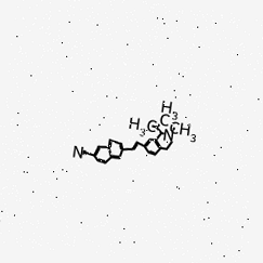 CC(C)C1c2cc(/C=C/c3ccc4cc(C#N)ccc4c3)ccc2CCN1C